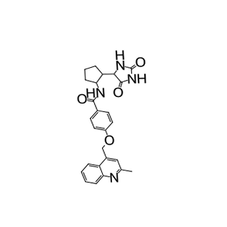 Cc1cc(COc2ccc(C(=O)NC3CCCC3C3NC(=O)NC3=O)cc2)c2ccccc2n1